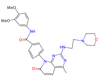 COc1ccc(NC(=O)c2ccc(-n3c(=O)ccc4c(C)nc(NCCN5CCOCC5)nc43)cc2)cc1OC